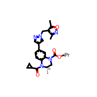 Cc1noc(C)c1Cn1cc(-c2ccc3c(c2)N(C(=O)OC(C)C)C[C@H](C)N3C(=O)C2CC2)cn1